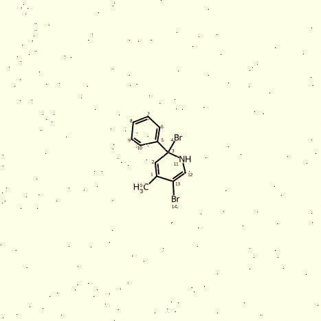 CC1=CC(Br)(c2ccccc2)NC=C1Br